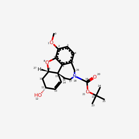 COc1ccc2c3c1O[C@H]1C[C@@H](O)C=C[C@@]31CCN(C(=O)OC(C)(C)C)C2